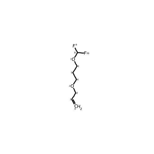 C=CCOCCCOC(F)F